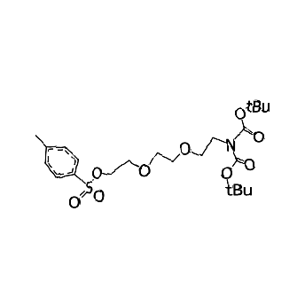 Cc1ccc(S(=O)(=O)OCCOCCOCCN(C(=O)OC(C)(C)C)C(=O)OC(C)(C)C)cc1